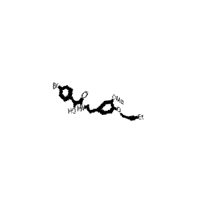 CCC#CCOc1ccc(CCNC(=O)C(O)c2ccc(Br)cc2)cc1OC